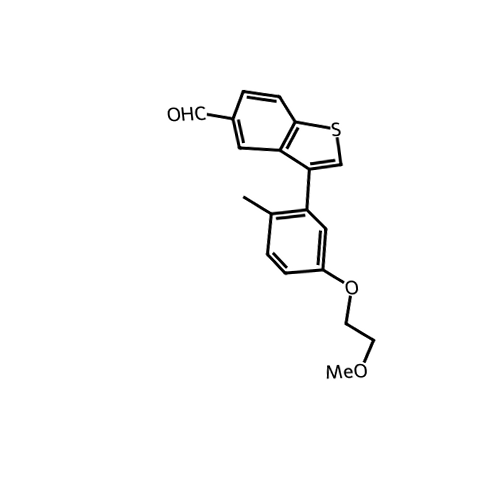 COCCOc1ccc(C)c(-c2csc3ccc(C=O)cc23)c1